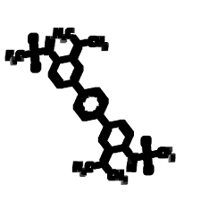 CC(C)=C1C=C(c2ccc(C3=CC(=C(C)C)C(NS(=O)(=O)C(F)(F)F)C=C3)cc2)C=CC1NS(=O)(=O)C(F)(F)F